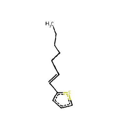 CCCCC/C=C/c1cccs1